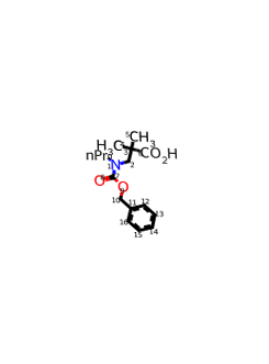 CCCN(CC(C)(C)C(=O)O)C(=O)OCc1ccccc1